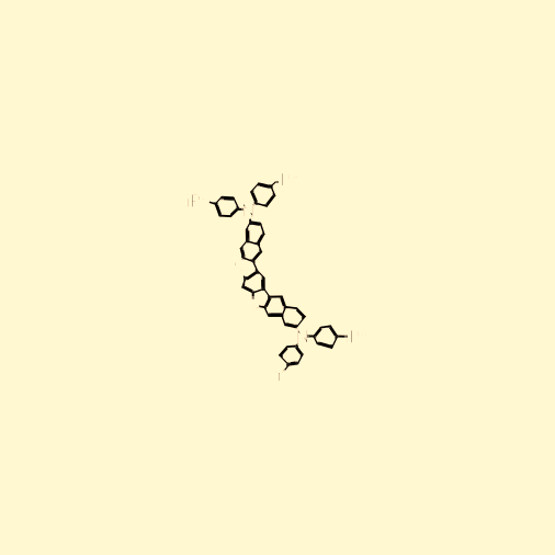 CC(C)c1ccc(N(c2ccc(C(C)C)cc2)c2ccc3cc4c(cc3c2)sc2cc3sc5cc6cc(N(c7ccc(C(C)C)cc7)c7ccc(C(C)C)cc7)ccc6cc5c3cc24)cc1